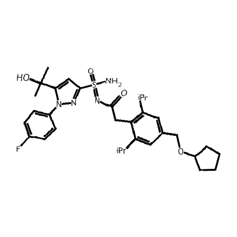 CC(C)c1cc(COC2CCCC2)cc(C(C)C)c1CC(=O)N=S(N)(=O)c1cc(C(C)(C)O)n(-c2ccc(F)cc2)n1